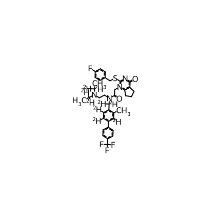 [2H]c1c([2H])c(C([2H])([2H])N(CCN(C([2H])([2H])C)C([2H])([2H])C)C(=O)Cn2c(SCc3ccc(F)cc3)nc(=O)c3c2CCC3)c(C)c([2H])c1-c1ccc(C(F)(F)F)cc1